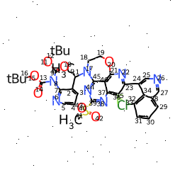 C[C@H](c1cccnc1N(C(=O)OC(C)(C)C)C(=O)OC(C)(C)C)N1CCOc2nc(-c3cncc4cccc(Cl)c34)c(F)c3nc(S(C)(=O)=O)nc1c23